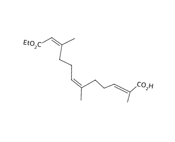 CCOC(=O)C=C(C)CCC=C(C)CCC=C(C)C(=O)O